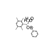 Cc1cc(C)c(C)c(CO[B]c2ccccc2)c1C.O.O